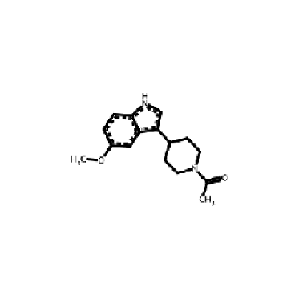 COc1ccc2[nH]cc(C3CCN(C(C)=O)CC3)c2c1